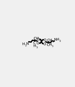 CC(C)(CCCN)C1OCC2(CO1)COC(C(C)(C)CCCN)OC2